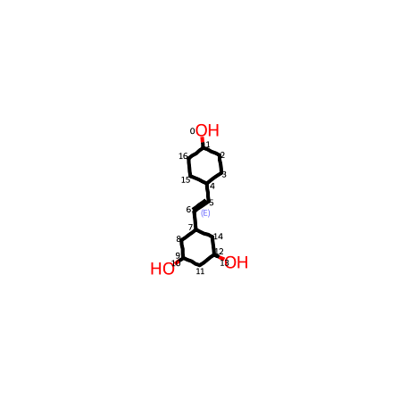 OC1CCC(/C=C/C2CC(O)CC(O)C2)CC1